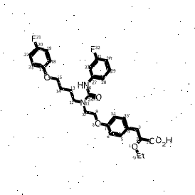 CCOC(Cc1ccc(OCCN(CCCCOc2ccc(F)cc2)C(=O)Nc2cccc(F)c2)cc1)C(=O)O